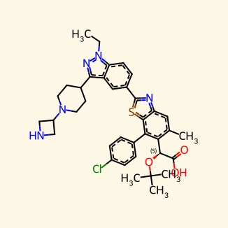 CCn1nc(C2CCN(C3CNC3)CC2)c2cc(-c3nc4cc(C)c([C@H](OC(C)(C)C)C(=O)O)c(-c5ccc(Cl)cc5)c4s3)ccc21